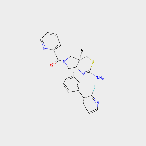 NC1=N[C@@]2(c3cccc(-c4cccnc4F)c3)CN(C(=O)c3ccccn3)C[C@H]2CS1